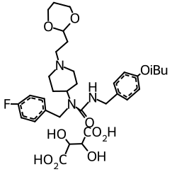 CC(C)COc1ccc(CNC(=O)N(Cc2ccc(F)cc2)C2CCN(CCC3OCCCO3)CC2)cc1.O=C(O)C(O)C(O)C(=O)O